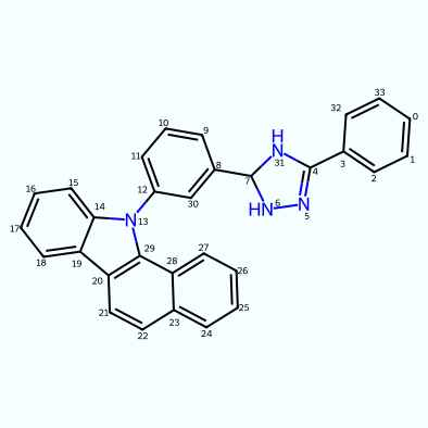 c1ccc(C2=NNC(c3cccc(-n4c5ccccc5c5ccc6ccccc6c54)c3)N2)cc1